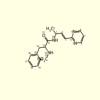 CC(/C=C/c1ncccn1)NC(=O)C(Cc1ccccc1)NC(=O)O